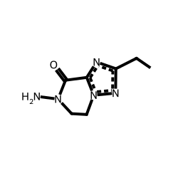 CCc1nc2n(n1)CCN(N)C2=O